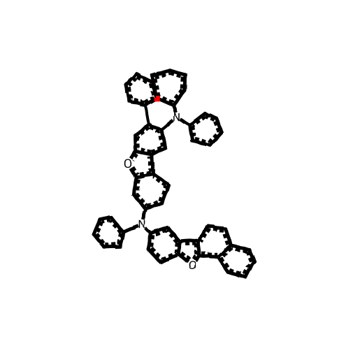 c1ccc(-c2cc3oc4cc(N(c5ccccc5)c5ccc6oc7c8ccccc8ccc7c6c5)ccc4c3cc2N(c2ccccc2)c2ccccc2)cc1